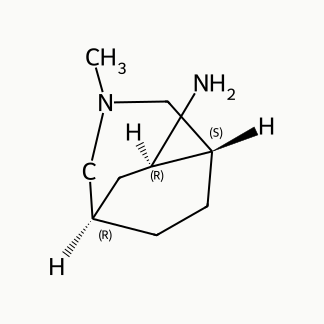 CN1C[C@@H]2CC[C@@H](C1)[C@H](N)C2